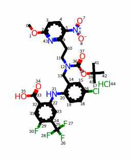 COc1ccc([N+](=O)[O-])c(CCN(Cc2cc(Cl)ccc2Nc2cc(C(F)(F)F)c(F)cc2C(=O)O)C(=O)OC(C)(C)C)n1.Cl